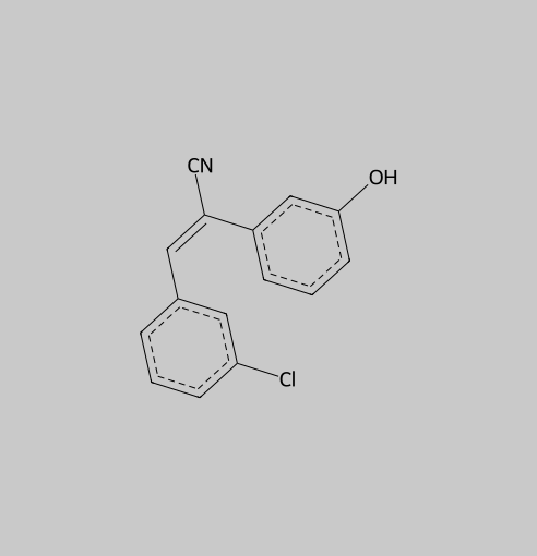 N#CC(=Cc1cccc(Cl)c1)c1cccc(O)c1